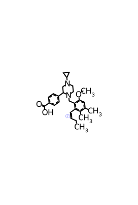 CC/C=C\c1c(C)c(C)cc(OC)c1CN1CCN(C2CC2)CC1c1ccc(C(=O)O)cc1